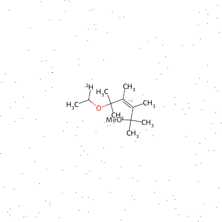 [2H]C(C)OC(C)(C)/C(C)=C(/C)C(C)(C)OC